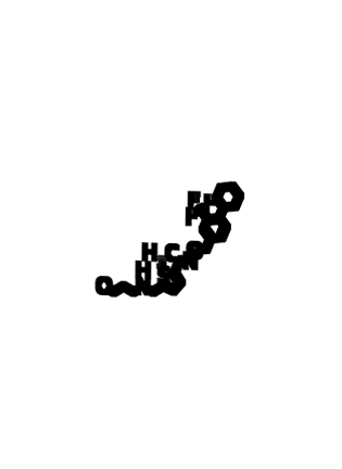 C/C(=N\OCc1ccc(C2CCCCC2)c(C(F)(F)F)c1)c1ccc(CNCCC=O)s1